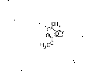 COC(=O)c1c(C(C)=O)c2ccc1o2